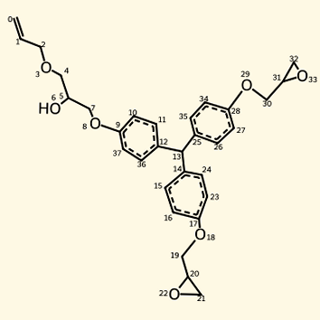 C=CCOCC(O)COc1ccc(C(c2ccc(OCC3CO3)cc2)c2ccc(OCC3CO3)cc2)cc1